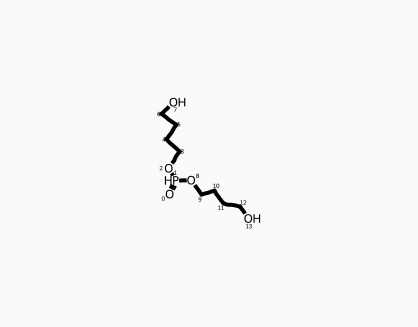 O=[PH](OCCCCO)OCCCCO